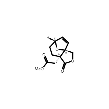 COC(=O)C[C@]12CC[C@@H]3C=C[C@@]1(COC2=O)O3